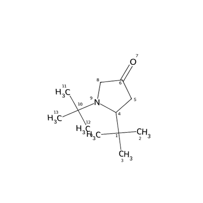 CC(C)(C)C1CC(=O)CN1C(C)(C)C